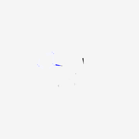 O=C[C@H]1[C@@H]2CC=CC[C@H]2C[C@@H]1n1cncn1